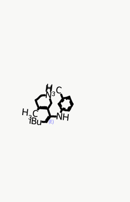 CCC(C)/C=C(/Nc1cccc(C)c1)C1=C(C)CCNC1